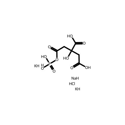 Cl.O=C(O)CC(O)(CC(=O)OP(=O)(O)O)C(=O)O.[KH].[KH].[NaH]